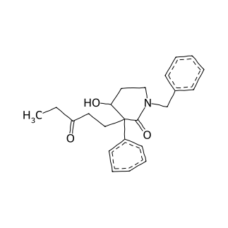 CCC(=O)CCC1(c2ccccc2)C(=O)N(Cc2ccccc2)CCC1O